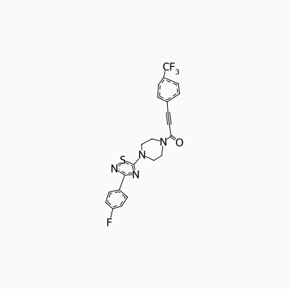 O=C(C#Cc1ccc(C(F)(F)F)cc1)N1CCN(c2nc(-c3ccc(F)cc3)ns2)CC1